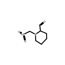 O=CC1CCCCN1C[SH](=O)=O